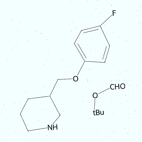 CC(C)(C)OC=O.Fc1ccc(OCC2CCCNC2)cc1